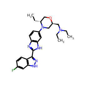 CC[C@@H]1CO[C@@H](CN(CC)CC)CN1c1ccc2nc(-c3n[nH]c4cc(F)ccc34)[nH]c2c1